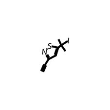 C#Cc1cc(C(C)(C)I)sn1